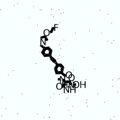 CNC(=O)C(C(=O)NO)N(C)C(=O)c1ccc(C#Cc2ccc(CN3CC(OCCF)C3)cc2)cc1